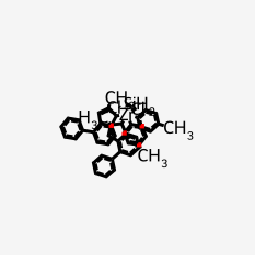 CC1=Cc2c(-c3ccccc3)cccc2[CH]1[Zr](=[SiH2])([Cl])([Cl])([c]1ccc(C)cc1)([c]1ccc(C)cc1)[CH]1C(C)=Cc2c(-c3ccccc3)cccc21